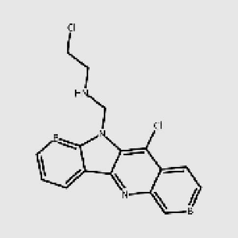 ClCCNCn1c2bcccc2c2nc3cbccc3c(Cl)c21